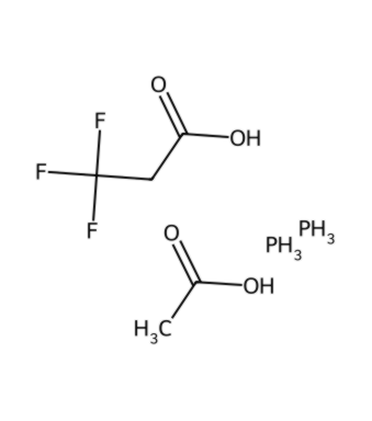 CC(=O)O.O=C(O)CC(F)(F)F.P.P